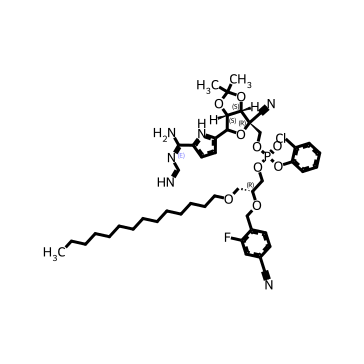 CCCCCCCCCCCCCCOC[C@H](COP(=O)(OC[C@@]1(C#N)OC(c2ccc(/C(N)=N\C=N)[nH]2)[C@@H]2OC(C)(C)O[C@@H]21)Oc1ccccc1Cl)OCc1ccc(C#N)cc1F